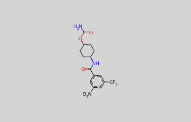 NC(=O)O[C@H]1CC[C@@H](NC(=O)c2cc([N+](=O)[O-])cc(C(F)(F)F)c2)CC1